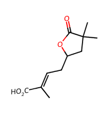 CC(=CCC1CC(C)(C)C(=O)O1)C(=O)O